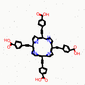 O=C(O)c1ccc(C#Cc2c3nc(c(C#Cc4ccc(C(=O)O)cc4)c4ccc([nH]4)c(C#Cc4ccc(C(=O)O)cc4)c4nc(c(C#Cc5ccc(C(=O)O)cc5)c5ccc2[nH]5)C=C4)C=C3)cc1